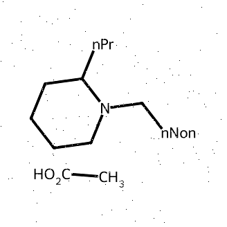 CC(=O)O.CCCCCCCCCCN1CCCCC1CCC